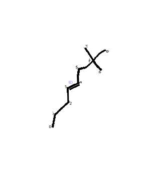 CCC/C=C/CC(C)(C)C